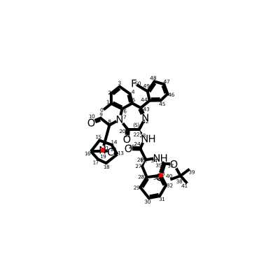 Cc1cccc2c1N(C(C=O)N1CC3CCC(CC3)C1)C(=O)[C@@H](NC(=O)[C@H](Cc1ccccc1)NC(=O)OC(C)(C)C)N=C2c1ccccc1F